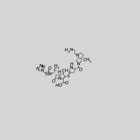 CC(NC(=O)Cn1cnnn1)[C@H]1C(=O)N2C(C(=O)O)=C(SC3CNC(C(=O)N4CC5N(CCN)CC[C@@]5(C)C4)C3)[C@H](C)[C@H]12